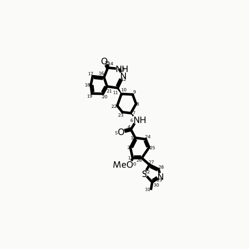 COc1cc(C(=O)N[C@H]2CC[C@H](c3n[nH]c(=O)c4ccccc43)CC2)ccc1-c1cnc(C)s1